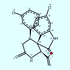 C=C(Br)[C@H]1NC(=O)C[C@@H](c2cccc(Cl)c2)[C@]12C(=O)Nc1cc(Cl)ccc12